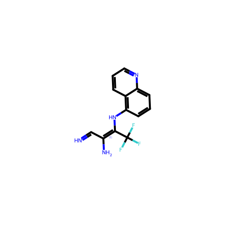 N=C/C(N)=C(\Nc1cccc2ncccc12)C(F)(F)F